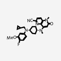 COc1cc(N(CC2CC2)[C@H]2CC[C@@H](N(C)c3cc(=O)n(C)c4ccc(C#N)nc34)CC2)ccc1F